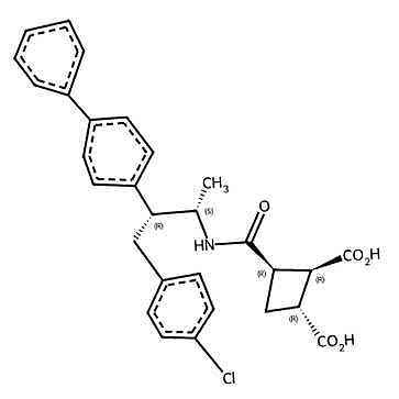 C[C@H](NC(=O)[C@@H]1C[C@@H](C(=O)O)[C@@H]1C(=O)O)[C@H](Cc1ccc(Cl)cc1)c1ccc(-c2ccccc2)cc1